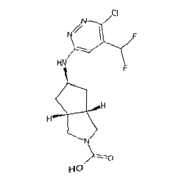 O=C(O)N1C[C@H]2C[C@H](Nc3cc(C(F)F)c(Cl)nn3)C[C@H]2C1